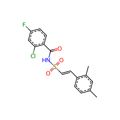 Cc1ccc(C=CS(=O)(=O)NC(=O)c2ccc(F)cc2Cl)c(C)c1